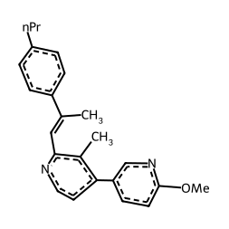 CCCc1ccc(/C(C)=C/c2nccc(-c3ccc(OC)nc3)c2C)cc1